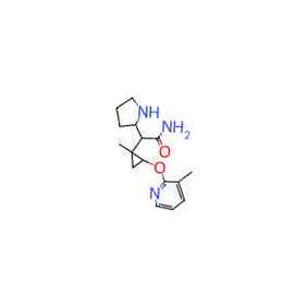 Cc1cccnc1OC1CC1(C)C(C(N)=O)C1CCCN1